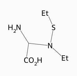 CCSN(CC)C(N)C(=O)O